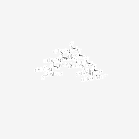 CCCCCCN(CCCCCC)C(=S)[S-].CCCCCCN(CCCCCC)C(=S)[S-].CCCCCCN(CCCCCC)C(=S)[S-].CCCCCCN(CCCCCC)C(=S)[S-].CCCCCCN(CCCCCC)C(=S)[S-].CCCCCCN(CCCCCC)C(=S)[S-].O=S.[Mo+6]